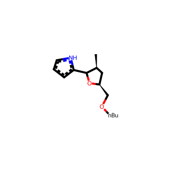 CCCCOC[C@@H]1C[C@H](C)C(c2ccc[nH]2)O1